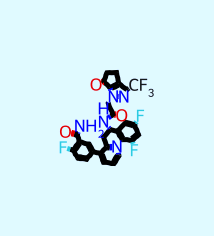 NC(=O)c1cc(-c2cccnc2CC(NC(=O)Cn2nc(C(F)(F)F)c3c2C(=O)CC3)c2cc(F)cc(F)c2)ccc1F